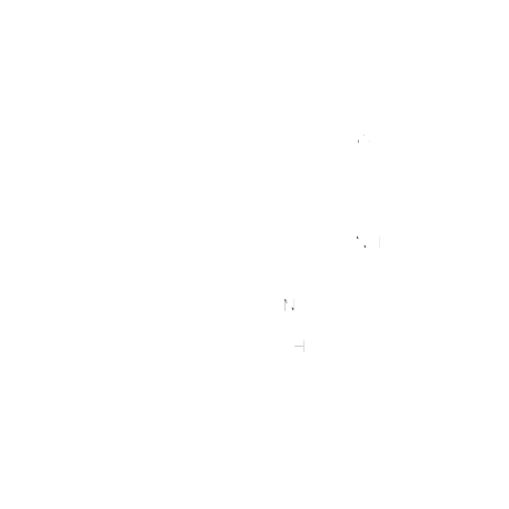 CN1CNC(=O)c2ccccc2C1c1ccccc1